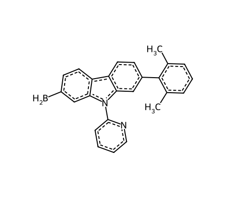 Bc1ccc2c3ccc(-c4c(C)cccc4C)cc3n(-c3ccccn3)c2c1